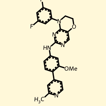 COc1cc(Nc2ncc3c(n2)N(c2cc(F)cc(F)c2)CCO3)ccc1-c1ccnc(C)c1